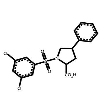 O=C(O)C1CC(c2ccccc2)CN1S(=O)(=O)c1cc(Cl)cc(Cl)c1